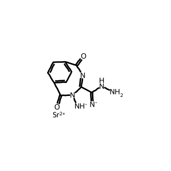 [N-]=C(NN)/C1=N/C(=O)c2ccc(cc2)C(=O)N1[NH-].[Sr+2]